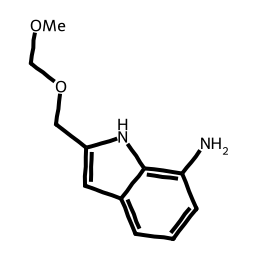 COCOCc1cc2cccc(N)c2[nH]1